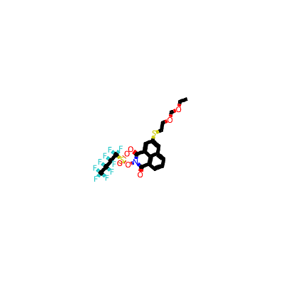 CCOCOCCSc1cc2c3c(cccc3c1)C(=O)N(OS(=O)(=O)C(F)(F)C(F)(F)C(F)(F)C(F)(F)F)C2=O